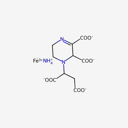 O=C([O-])CC(C(=O)[O-])N1CCN=C(C(=O)[O-])C1C(=O)[O-].[Fe+3].[NH4+]